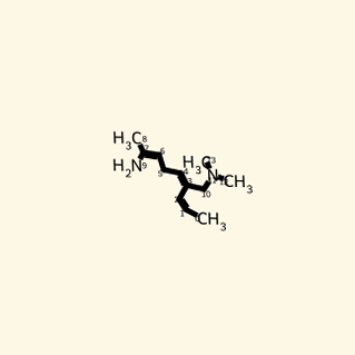 C/C=C\C(=C/CC=C(C)N)CN(C)C